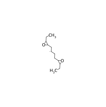 CCC1OC1C[CH]CCC1OC1CC